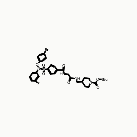 CC(C)(C)OC(=O)N1CCC(CNC(=O)CNC(=O)c2ccc(S(=O)(=O)N(Oc3ccc(Br)cc3)c3cccc(F)c3)cc2)CC1